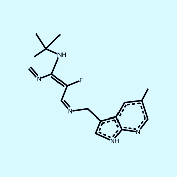 C=N/C(NC(C)(C)C)=C(F)\C=N/Cc1c[nH]c2ncc(C)cc12